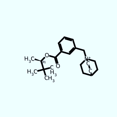 C[C@@H](OC(=O)c1cccc(C[N+]23CCC(CC2)CC3)c1)C(C)(C)C